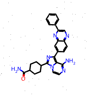 NC(=O)C1CCC(c2nc(-c3ccc4ncc(-c5ccccc5)nc4c3)c3c(N)nccn23)CC1